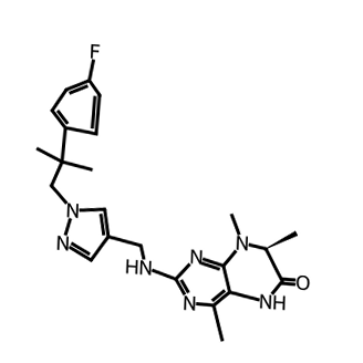 Cc1nc(NCc2cnn(CC(C)(C)c3ccc(F)cc3)c2)nc2c1NC(=O)[C@H](C)N2C